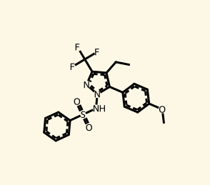 CCc1c(C(F)(F)F)nn(NS(=O)(=O)c2ccccc2)c1-c1ccc(OC)cc1